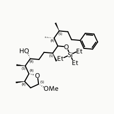 CC[Si](CC)(CC)OC([C@@H](C)CC[C@@H](O)[C@H](C)[C@@H]1O[C@H](OC)C[C@H]1C)[C@H](C)[C@@H](C)CCc1ccccc1